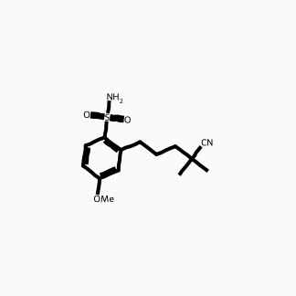 COc1ccc(S(N)(=O)=O)c(CCCC(C)(C)C#N)c1